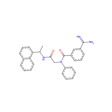 CC(NC(=O)CN(C(=O)c1cccc(C(=N)N)c1)c1ccccc1)c1cccc2ccccc12